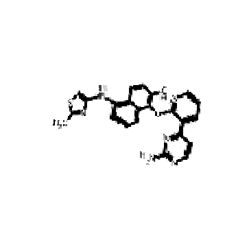 Cc1nc(Nc2cccc3c(Oc4ncccc4-c4ccnc(N)n4)c(C)ccc23)cs1